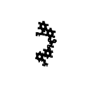 CC(C)Cc1ccccc1-c1cccc(OCC(=O)Oc2cccc(-c3ccccc3CC(C)C)c2)c1